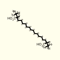 [2H]C([2H])([2H])C(C)(CCCCCCCCCCCCCCC(C)(C(=O)O)C([2H])([2H])[2H])C(=O)O